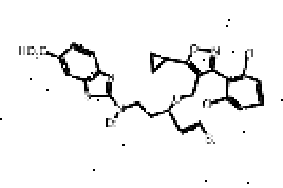 CC/C=C/C(CCN(CC)c1nc2ccc(C(=O)O)cc2s1)OCc1c(-c2c(Cl)cccc2Cl)noc1C1CC1